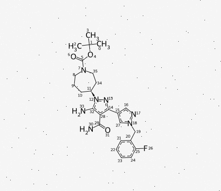 CC(C)(C)OC(=O)N1CCC[C@H](n2nc(-c3cnn(Cc4ccccc4F)c3)c(C(N)=O)c2N)CC1